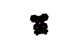 Cc1c(-n2c3ccccc3c3ccccc32)ccc2c1C1(CC2(C)C)CC(C)(C)c2ccc(-n3c4ccccc4c4ccccc43)c(C)c21